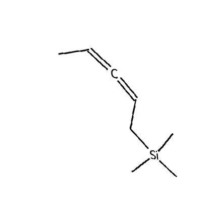 CC=C=CC[Si](C)(C)C